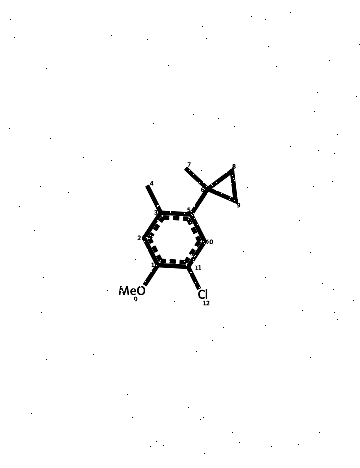 COc1cc(C)c(C2(C)CC2)cc1Cl